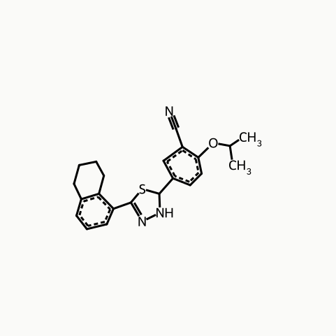 CC(C)Oc1ccc(C2NN=C(c3cccc4c3CCCC4)S2)cc1C#N